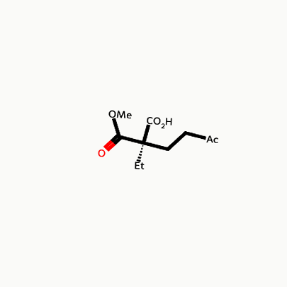 CC[C@@](CCC(C)=O)(C(=O)O)C(=O)OC